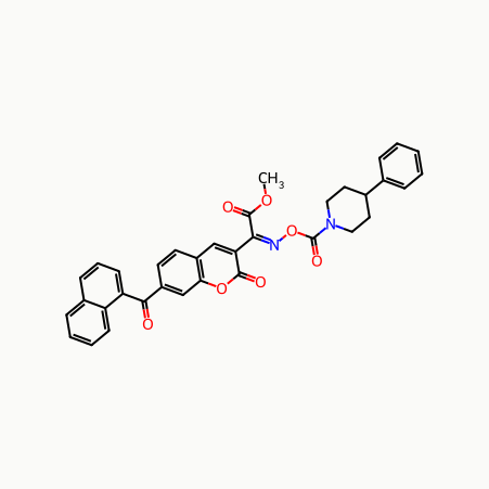 COC(=O)/C(=N\OC(=O)N1CCC(c2ccccc2)CC1)c1cc2ccc(C(=O)c3cccc4ccccc34)cc2oc1=O